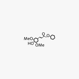 COc1cc(/C=C/C(=O)COc2ccccc2)cc(OC)c1O